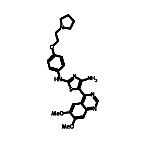 COc1cc2ncnc(-c3sc(Nc4ccc(OCCN5CCCC5)cc4)nc3N)c2cc1OC